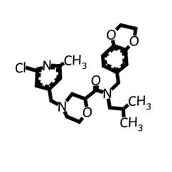 Cc1cc(CN2CCOC(C(=O)N(Cc3ccc4c(c3)OCCO4)CC(C)C)C2)cc(Cl)n1